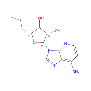 CSC[C@H]1O[C@@H](n2cnc3c(N)ccnc32)[C@@H](O)C1O